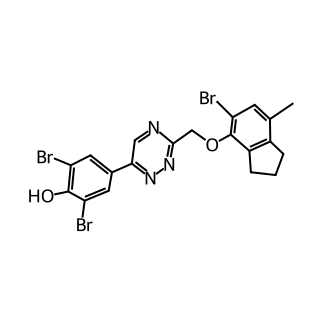 Cc1cc(Br)c(OCc2ncc(-c3cc(Br)c(O)c(Br)c3)nn2)c2c1CCC2